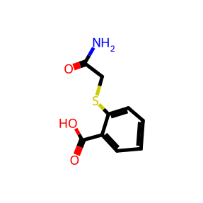 NC(=O)CSc1ccccc1C(=O)O